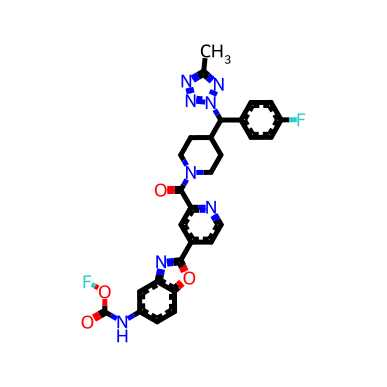 Cc1nnn(C(c2ccc(F)cc2)C2CCN(C(=O)c3cc(-c4nc5cc(NC(=O)OF)ccc5o4)ccn3)CC2)n1